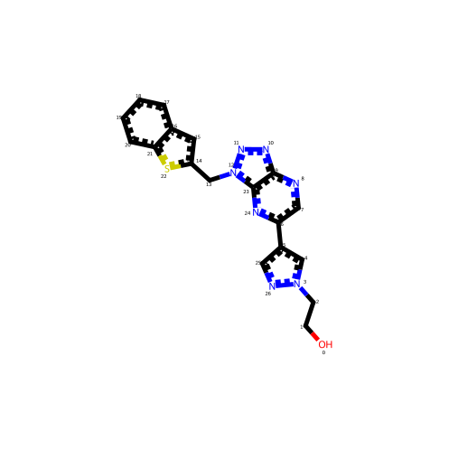 OCCn1cc(-c2cnc3nnn(Cc4cc5ccccc5s4)c3n2)cn1